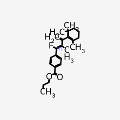 C=C(C1=C(C)CCCC1(C)C)/C(C)=C(\F)c1ccc(C(=O)OCCC)cc1